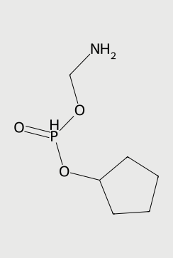 NCO[PH](=O)OC1CCCC1